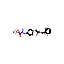 CC(C)(C)OC(=O)NC[C@H]1CC[C@H](CC(=O)OCc2ccccc2)CC1